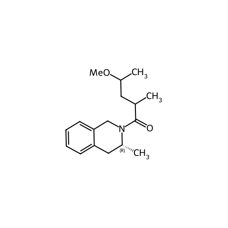 COC(C)CC(C)C(=O)N1Cc2ccccc2C[C@H]1C